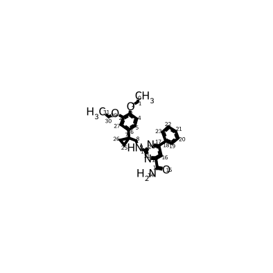 CCOc1ccc(C2(CNc3nc(C(N)=O)cc(-c4ccccc4)n3)CC2)cc1OCC